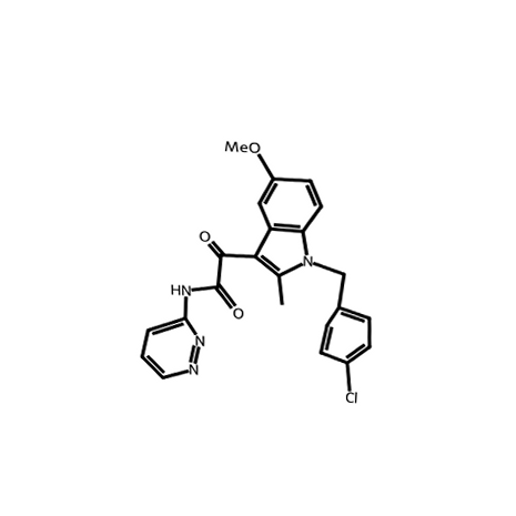 COc1ccc2c(c1)c(C(=O)C(=O)Nc1cccnn1)c(C)n2Cc1ccc(Cl)cc1